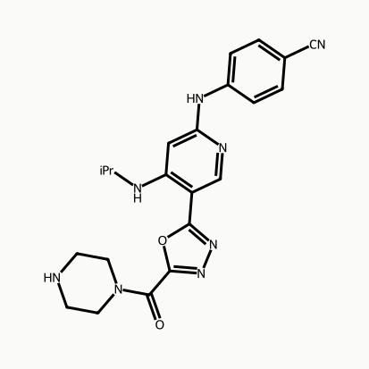 CC(C)Nc1cc(Nc2ccc(C#N)cc2)ncc1-c1nnc(C(=O)N2CCNCC2)o1